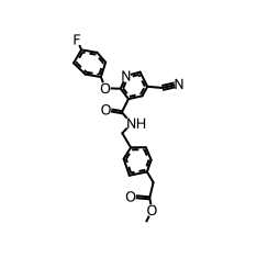 COC(=O)Cc1ccc(CNC(=O)c2cc(C#N)cnc2Oc2ccc(F)cc2)cc1